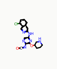 O=C=Nc1ncc(Nc2cc3cccc(Cl)c3cn2)nc1OC1CCCNC1